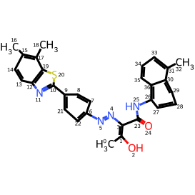 C/C(O)=C(\N=N\c1ccc(-c2nc3ccc(C)c(C)c3s2)cc1)C(=O)Nc1cccc2c(C)cccc12